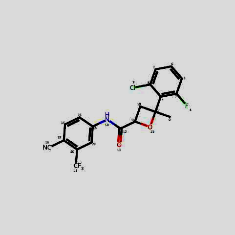 CC1(c2c(F)cccc2Cl)CC(C(=O)Nc2ccc(C#N)c(C(F)(F)F)c2)O1